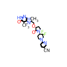 C[C@@H](CO[C@@H]1CCN([C@H]2CCN(c3ccc(C#N)cn3)CC2(F)F)C1=O)Nc1cn[nH]c(=O)c1C(F)(F)F